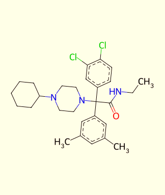 CCNC(=O)C(c1cc(C)cc(C)c1)(c1ccc(Cl)c(Cl)c1)N1CCN(C2CCCCC2)CC1